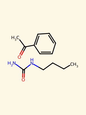 CC(=O)c1ccccc1.CCCCNC(N)=O